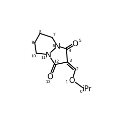 CC(C)OC=C1C(=O)N2CCCCN2C1=O